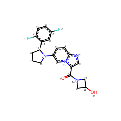 O=C(c1cnc2ccc(N3CCC[C@H]3c3cc(F)ccc3F)cn12)N1CC(O)C1